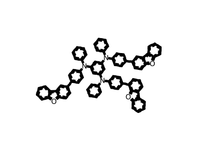 c1ccc(N(c2ccc(-c3ccc4oc5ccccc5c4c3)cc2)c2cc(N(c3ccccc3)c3ccc(-c4ccc5oc6ccccc6c5c4)cc3)cc(N(c3ccccc3)c3ccc(-c4cccc5c4oc4ccccc45)cc3)c2)cc1